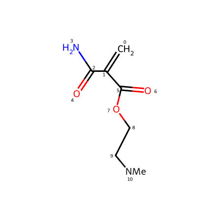 C=C(C(N)=O)C(=O)OCCNC